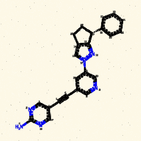 Nc1ncc(C#Cc2cncc(-n3cc4c(n3)[C@@H](c3ccccc3)CC4)c2)cn1